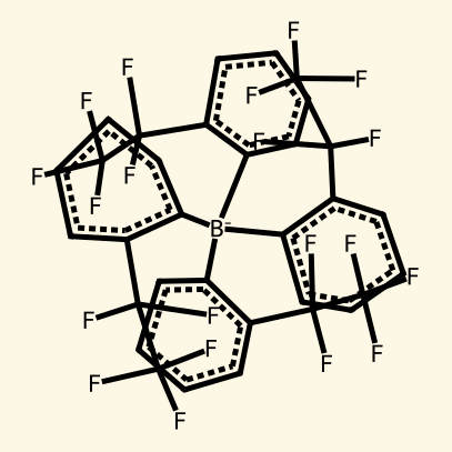 FC(F)(F)C(F)(F)c1ccccc1[B-](c1ccccc1C(F)(F)C(F)(F)F)(c1ccccc1C(F)(F)C(F)(F)F)c1ccccc1C(F)(F)C(F)(F)F